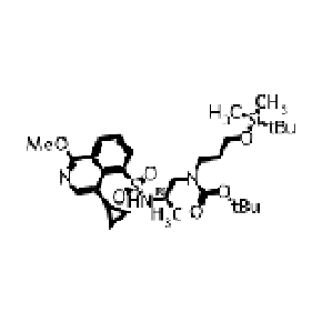 COc1ncc(C2CC2)c2c(S(=O)(=O)N[C@H](C)CN(CCCO[Si](C)(C)C(C)(C)C)C(=O)OC(C)(C)C)cccc12